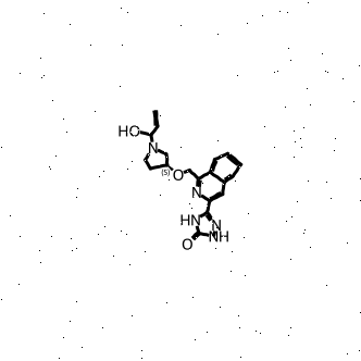 C=CC(O)N1CC[C@H](OCc2nc(-c3n[nH]c(=O)[nH]3)cc3ccccc23)C1